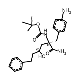 CC(C)(C)OC(=O)N[C@](Cc1ccc(N)cc1)(C[C@@H](O)CCc1ccccc1)C(N)=O